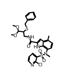 COC(OC)C(CNC(=O)c1cc2c(C)ccc(N(C)S(=O)(=O)c3cccnc3Cl)c2[nH]1)SCc1ccccc1